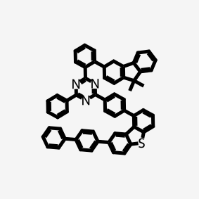 CC1(C)C2=C(CC(c3ccccc3-c3nc(-c4ccccc4)nc(-c4ccc(-c5cccc6sc7ccc(-c8ccc(-c9ccccc9)cc8)cc7c56)cc4)n3)C=C2)c2ccccc21